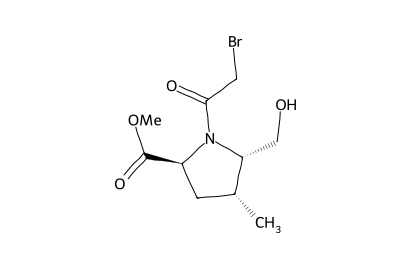 COC(=O)[C@@H]1C[C@@H](C)[C@@H](CO)N1C(=O)CBr